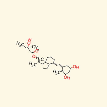 C=C1/C(=C\C=C2/CCC[C@@]3(C)C2CC[C@@H]3[C@H](C)COC(=O)C[C@](C)(O)CC)CC(O)C[C@@H]1O